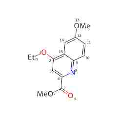 CCOc1cc(C(=O)OC)nc2ccc(OC)cc12